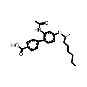 CCCCCC[C@@H](C)Oc1ccc(-c2ccc(C(=O)O)cc2)c(NC(C)=O)c1